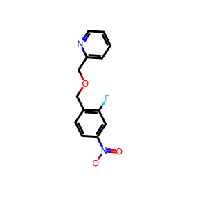 O=[N+]([O-])c1ccc(COCc2ccccn2)c(F)c1